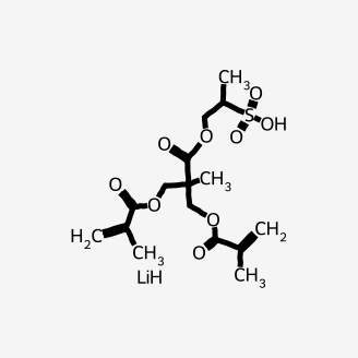 C=C(C)C(=O)OCC(C)(COC(=O)C(=C)C)C(=O)OCC(C)S(=O)(=O)O.[LiH]